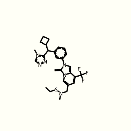 C=C1N2C=C(CN(C)SCC)C=C(C(F)(F)F)C2=CN1c1cccc(C(c2nncn2C)C2CCC2)c1